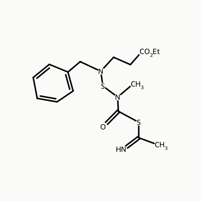 CCOC(=O)CCN(Cc1ccccc1)SN(C)C(=O)SC(C)=N